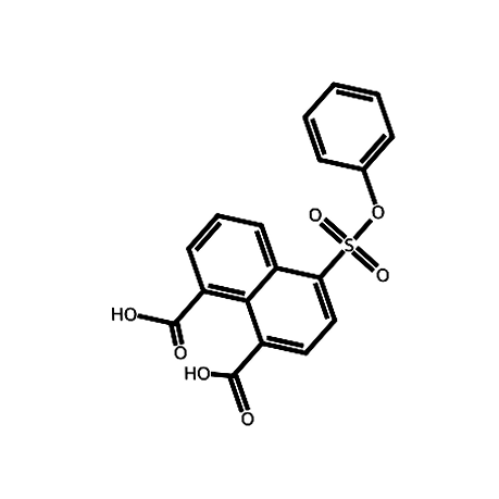 O=C(O)c1cccc2c(S(=O)(=O)Oc3ccccc3)ccc(C(=O)O)c12